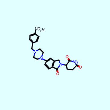 O=C1CCC(N2Cc3cc(N4CCN(Cc5ccc(C(=O)O)cc5)CC4)ccc3C2=O)C(=O)N1